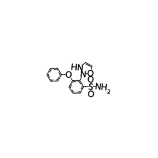 NS(=O)(=O)c1cccc(Oc2ccccc2)c1N1NC=CO1